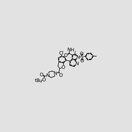 Cc1ccc(S(=O)(=O)n2cc(C(N)=O)c3c(-c4cc(Cl)cc5c4OC(C(=O)N4CCN(C(=O)OC(C)(C)C)CC4)C5)ccnc32)cc1